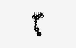 COc1cc(NC(C)=O)ccc1OCCCCN1CCC(c2ccccc2)CC1